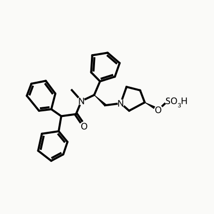 CN(C(=O)C(c1ccccc1)c1ccccc1)[C@H](CN1CC[C@@H](OS(=O)(=O)O)C1)c1ccccc1